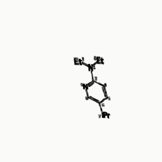 CCN(CC)c1ccc(C(C)C)cn1